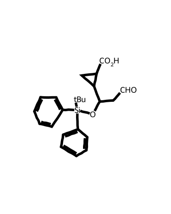 CC(C)(C)[Si](OC(CC=O)C1CC1C(=O)O)(c1ccccc1)c1ccccc1